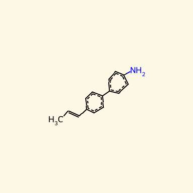 C/C=C/c1ccc(-c2ccc(N)cc2)cc1